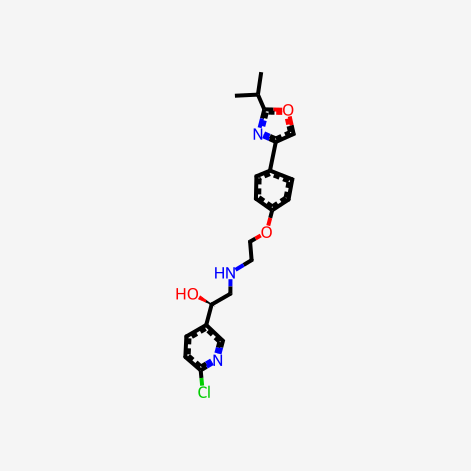 CC(C)c1nc(-c2ccc(OCCNC[C@H](O)c3ccc(Cl)nc3)cc2)co1